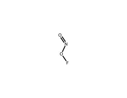 O=NOF